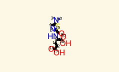 CN(C)c1cnc(C(=O)N[C@H](CCC(=O)O)C(=O)O)s1